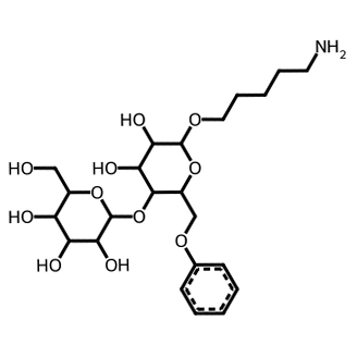 NCCCCCOC1OC(COc2ccccc2)C(OC2OC(CO)C(O)C(O)C2O)C(O)C1O